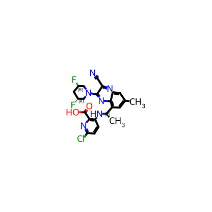 Cc1cc([C@@H](C)Nc2ccc(Cl)nc2C(=O)O)c2nc(N3C[C@H](F)C[C@@H](F)C3)c(C#N)nc2c1